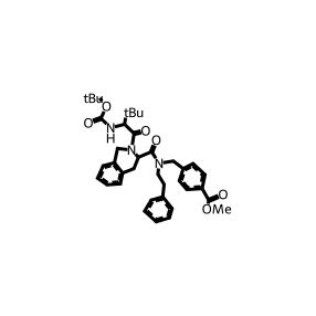 COC(=O)c1ccc(CN(CCc2ccccc2)C(=O)C2Cc3ccccc3CN2C(=O)C(NC(=O)OC(C)(C)C)C(C)(C)C)cc1